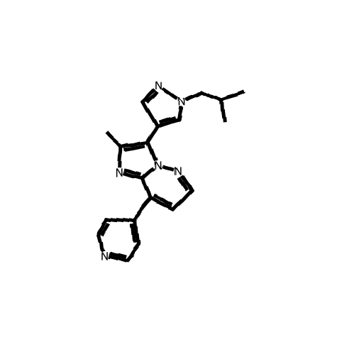 Cc1nc2c(-c3ccncc3)ccnn2c1-c1cnn(CC(C)C)c1